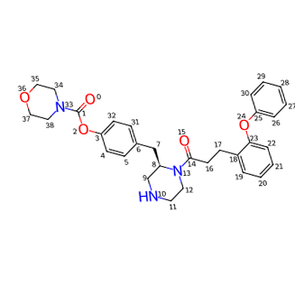 O=C(Oc1ccc(C[C@@H]2CNCCN2C(=O)CCc2ccccc2Oc2ccccc2)cc1)N1CCOCC1